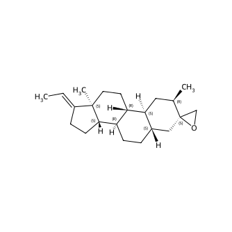 CC=C1CC[C@H]2[C@@H]3CC[C@H]4C[C@@]5(CO5)[C@H](C)C[C@@H]4[C@H]3CC[C@]12C